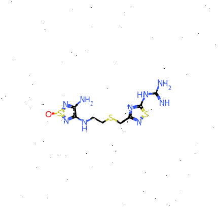 N=C(N)Nc1nc(CSCCNc2n[s+]([O-])nc2N)ns1